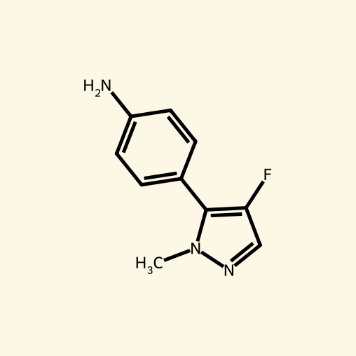 Cn1ncc(F)c1-c1ccc(N)cc1